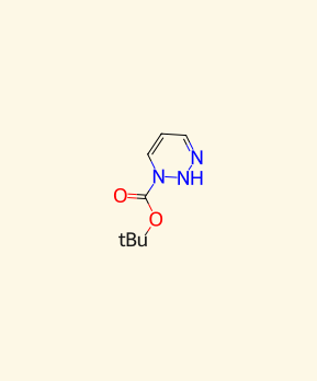 CC(C)(C)OC(=O)N1C=CC=NN1